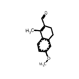 COc1ccc2c(c1)CCC(C=O)=C2C